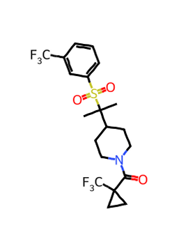 CC(C)(C1CCN(C(=O)C2(C(F)(F)F)CC2)CC1)S(=O)(=O)c1cccc(C(F)(F)F)c1